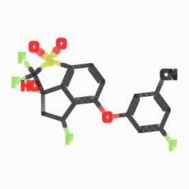 N#Cc1cc(F)cc(Oc2ccc3c4c2C(F)C[C@@]4(O)C(F)(F)S3(=O)=O)c1